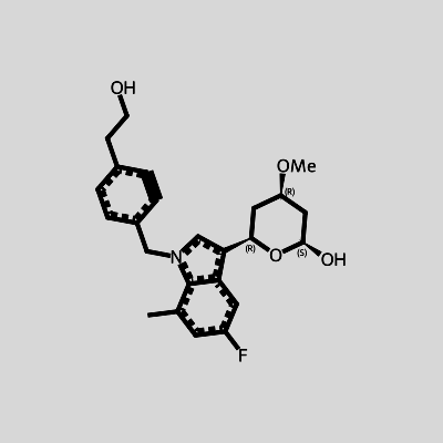 CO[C@H]1C[C@@H](O)O[C@@H](c2cn(Cc3c#cc(CCO)cc3)c3c(C)cc(F)cc23)C1